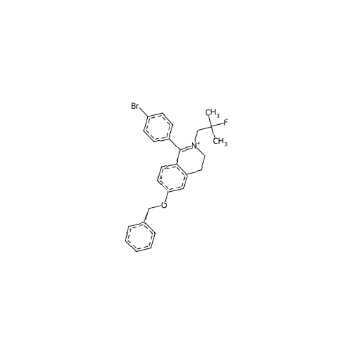 CC(C)(F)C[N+]1=C(c2ccc(Br)cc2)c2ccc(OCc3ccccc3)cc2CC1